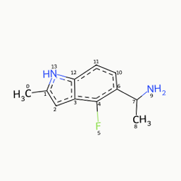 Cc1cc2c(F)c(C(C)N)ccc2[nH]1